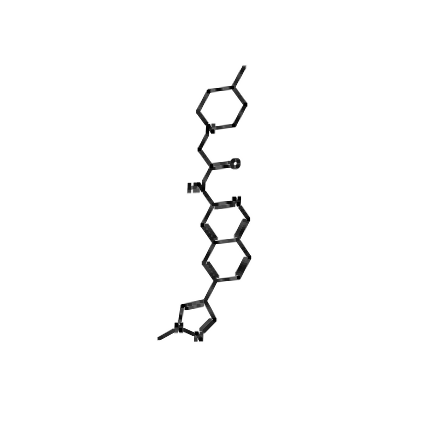 CC1CCN(CC(=O)Nc2cc3cc(-c4cnn(C)c4)ccc3cn2)CC1